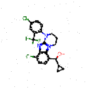 OC(c1ccc(Cl)c2nc3n(c12)CCCN3c1ccc(Cl)cc1C(F)(F)F)C1CC1